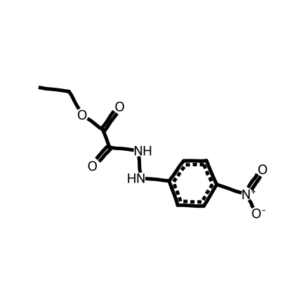 CCOC(=O)C(=O)NNc1ccc([N+](=O)[O-])cc1